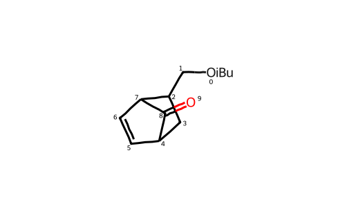 CC(C)COCC1CC2C=CC1C2=O